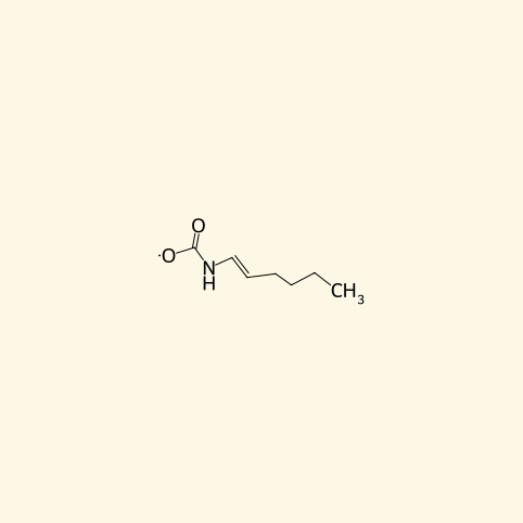 CCCC/C=C/NC([O])=O